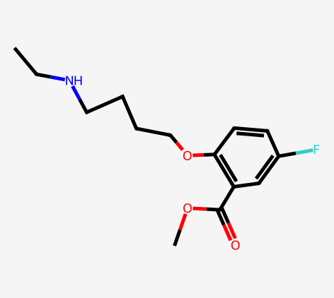 CCNCCCCOc1ccc(F)cc1C(=O)OC